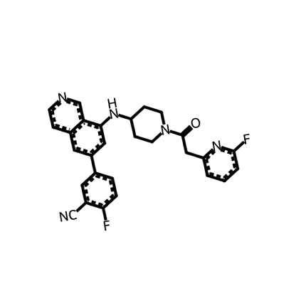 N#Cc1cc(-c2cc(NC3CCN(C(=O)Cc4cccc(F)n4)CC3)c3cnccc3c2)ccc1F